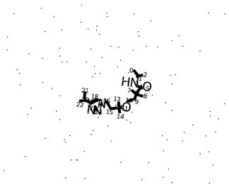 CC(C)NC(=O)C(C)(C)CCOC(C)(C)CCn1cc(C(C)C)nn1